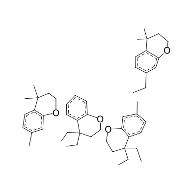 CCC1(CC)CCOc2cc(C)ccc21.CCC1(CC)CCOc2ccccc21.CCc1ccc2c(c1)OCCC2(C)C.Cc1ccc2c(c1)OCCC2(C)C